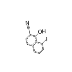 N#Cc1ccc2cccc(I)c2c1O